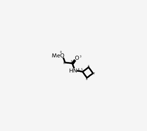 CO[CH]C(=O)NC1CCC1